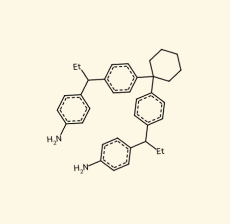 CCC(c1ccc(N)cc1)c1ccc(C2(c3ccc(C(CC)c4ccc(N)cc4)cc3)CCCCC2)cc1